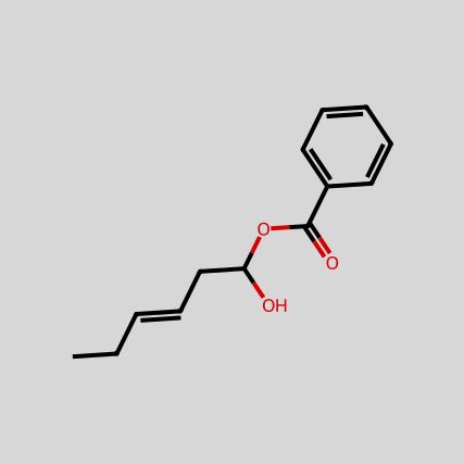 CCC=CCC(O)OC(=O)c1ccccc1